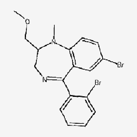 COCC1CN=C(c2ccccc2Br)c2cc(Br)ccc2N1C